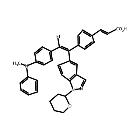 CC/C(=C(\c1ccc(C=CC(=O)O)cc1)c1ccc2c(cnn2C2CCCCO2)c1)c1ccc(N(C)c2ccccc2)cc1